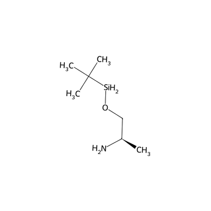 C[C@@H](N)CO[SiH2]C(C)(C)C